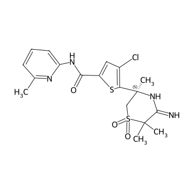 Cc1cccc(NC(=O)c2cc(Cl)c([C@]3(C)CS(=O)(=O)C(C)(C)C(=N)N3)s2)n1